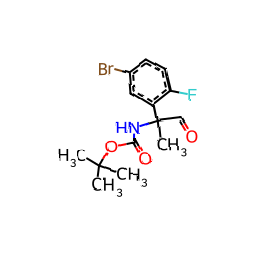 CC(C)(C)OC(=O)NC(C)(C=O)c1cc(Br)ccc1F